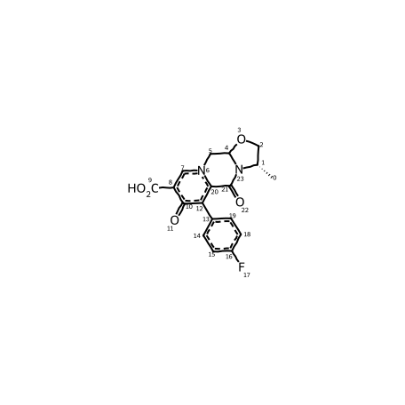 C[C@H]1COC2Cn3cc(C(=O)O)c(=O)c(-c4ccc(F)cc4)c3C(=O)N21